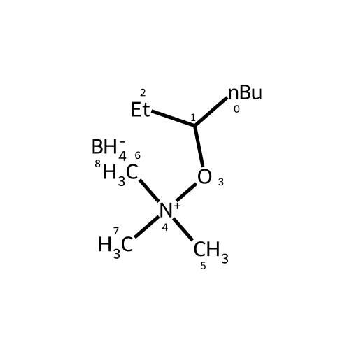 CCCCC(CC)O[N+](C)(C)C.[BH4-]